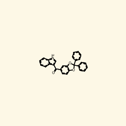 O=C(c1ccc2c(c1)OC(c1ccccc1)(c1ccccc1)O2)c1c[nH]c2ccccc12